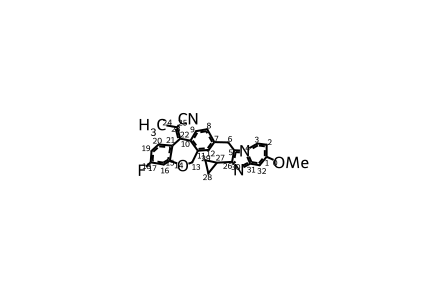 COc1ccn2c(Cc3ccc4c(c3)COc3cc(F)ccc3/C4=C(\C)C#N)c(C3CC3)nc2c1